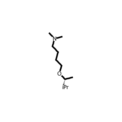 CC(C)[C@@H](C)OCCCCN(C)C